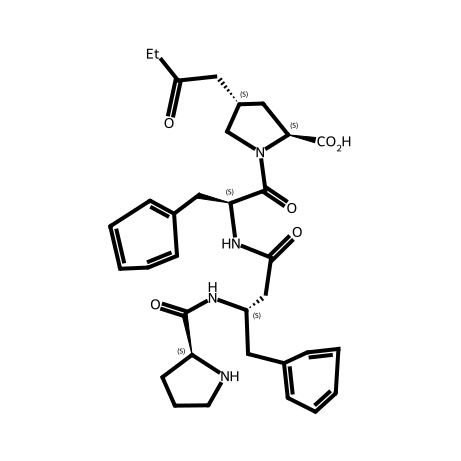 CCC(=O)C[C@@H]1C[C@@H](C(=O)O)N(C(=O)[C@H](Cc2ccccc2)NC(=O)C[C@H](Cc2ccccc2)NC(=O)[C@@H]2CCCN2)C1